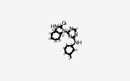 Cc1cccc(Nc2ncnc(-n3c(=O)[nH]c4ccccc43)n2)c1